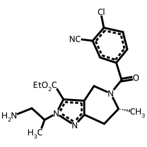 CCOC(=O)c1c2c(nn1C(C)CN)C[C@@H](C)N(C(=O)c1ccc(Cl)c(C#N)c1)C2